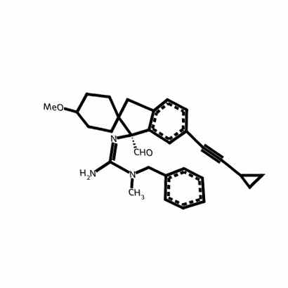 COC1CCC2(CC1)Cc1ccc(C#CC3CC3)cc1[C@@]2(C=O)/N=C(/N)N(C)Cc1ccccc1